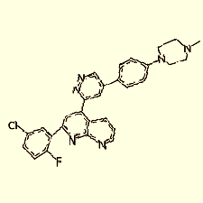 CN1CCN(c2ccc(-c3cnnc(-c4cc(-c5cc(Cl)ccc5F)nc5ncccc45)c3)cc2)CC1